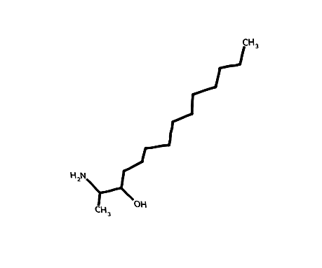 CCCCCCCCCCCC(O)C(C)N